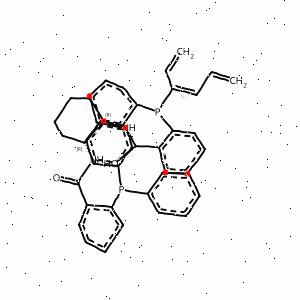 C=C/C=C(\C=C)P(c1ccccc1)c1ccccc1C(O)N[C@@H]1CCCC[C@H]1NC(=O)c1ccccc1P(c1ccccc1)c1ccccc1